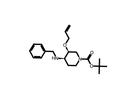 C=CCO[C@H]1CN(C(=O)OC(C)(C)C)CC[C@H]1NCc1ccccc1